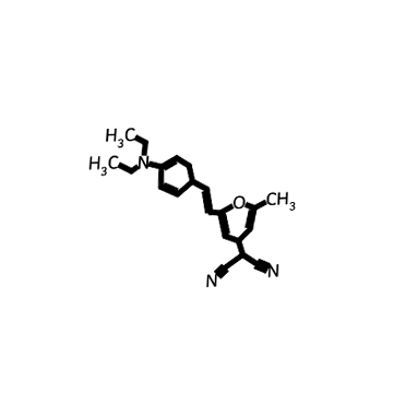 CCN(CC)C1=CCC(/C=C/C2=CC(C(C#N)C#N)C=C(C)O2)C=C1